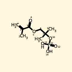 C=C(C)C(=O)OCC(C)(C)OP(=O)(O)O